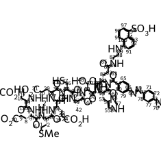 CSCC[C@H](NC(=O)[C@H](CCC(=O)O)NC(=O)[C@@H](N)CC(=O)O)C(=O)N[C@@H](CCC(=O)O)C(=O)N[C@@H](CCC(=O)O)C(=O)N[C@@H](CS)C(=O)N[C@@H](C)C(=O)N[C@@H](CO)C(=O)N[C@@H](Cc1c[nH]cn1)C(=O)N(C(=O)c1ccc(N=Nc2ccc(N(C)C)cc2)cc1)[C@@H](CCC(=O)NCCNc1cccc2c(S(=O)(=O)O)cccc12)C(N)=O